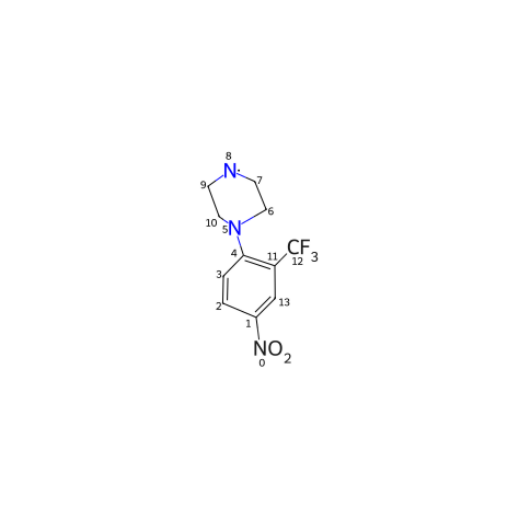 O=[N+]([O-])c1ccc(N2CC[N]CC2)c(C(F)(F)F)c1